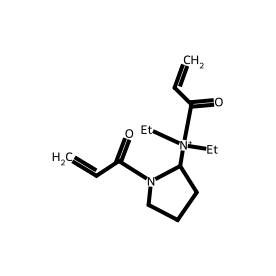 C=CC(=O)N1CCCC1[N+](CC)(CC)C(=O)C=C